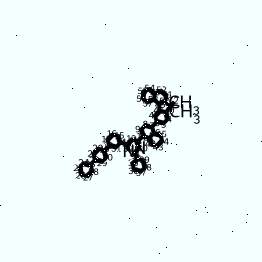 CC1(C)c2ccc(-c3ccc(-c4cc(-c5cccc(-c6ccc(-c7ccccc7)cc6)c5)nc(-c5ccccc5)n4)c4ccccc34)cc2-c2c1ccc1ccccc21